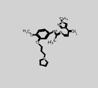 C=C(/C=C\N=C(/C)Nc1ccc(OC)c(OCCCN2CCCC2)c1)c1cnn(C)c1